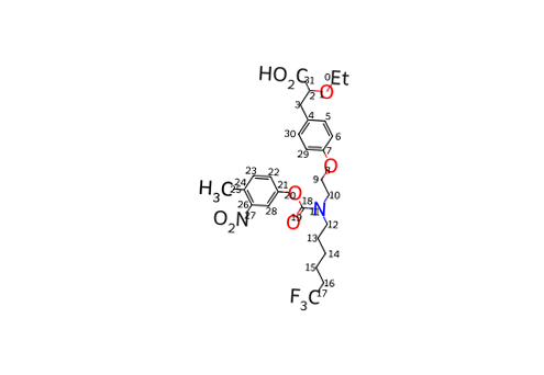 CCOC(Cc1ccc(OCCN(CCCCCC(F)(F)F)C(=O)Oc2ccc(C)c([N+](=O)[O-])c2)cc1)C(=O)O